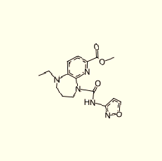 CCN1CCCN(C(=O)Nc2ccon2)c2nc(C(=O)OC)ccc21